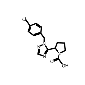 O=C(O)N1CCCC1c1ncnn1Cc1ccc(Cl)cc1